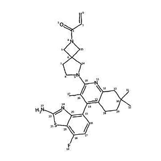 C=CC(=O)N1CC2(CCN(c3nc4c(c(-c5ccc(F)c6sc(N)nc56)c3C)CCC(C)(C)C4)C2)C1